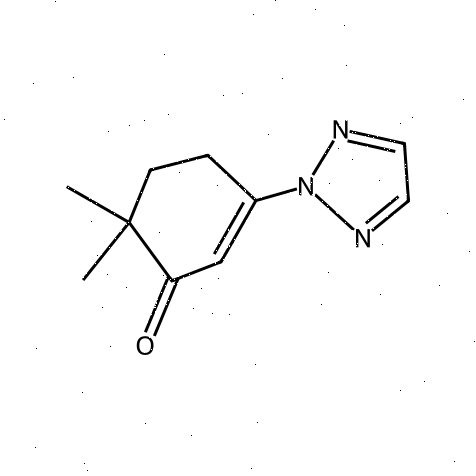 CC1(C)CCC(n2nccn2)=CC1=O